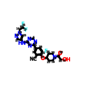 N#Cc1cc(-c2ncnc(Nc3cnn(CC(F)F)c3)n2)ccc1OC1CCN(C(=O)CO)C[C@H]1F